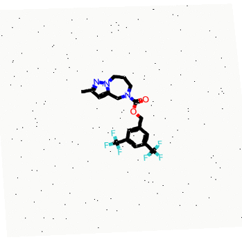 Cc1cc2n(n1)CCCN(C(=O)OCc1cc(C(F)(F)F)cc(C(F)(F)F)c1)C2